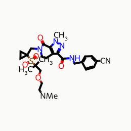 CNCCOCC(C)(C)S(=O)(=O)C1(CN2CCc3c(C(=O)NCc4ccc(C#N)cc4)nn(C)c3C2=O)CC1